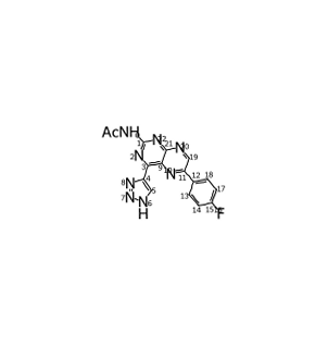 CC(=O)Nc1nc(-c2c[nH]nn2)c2nc(-c3ccc(F)cc3)cnc2n1